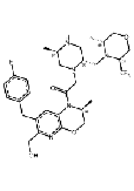 C[C@@H]1CN(CC(=O)N2c3cc(Cc4ccc(F)cc4)c(CO)nc3OC[C@@H]2C)[C@@H](CN2[C@H](C)COC[C@H]2C(F)(F)F)CN1